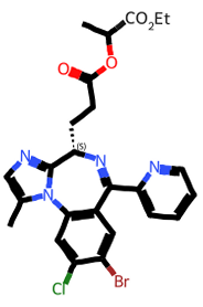 CCOC(=O)C(C)OC(=O)CC[C@@H]1N=C(c2ccccn2)c2cc(Br)c(Cl)cc2-n2c(C)cnc21